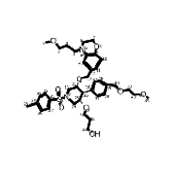 COCCCN1CCOc2ccc(CO[C@H]3CN(S(=O)(=O)c4ccc(C)cc4)C[C@@H](OCCCO)[C@@H]3c3ccc(COCCOC)cc3)cc21